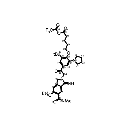 CCOc1cc2c(cc1C(=O)NC)C(=N)N(CC(=O)c1cc(N3CCCC3)c(OCCCCC(=O)OC(=O)C(F)(F)F)c(C(C)(C)C)c1)C2